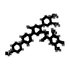 C[C@H]1CN(c2cc(F)c(-c3cnc(N4CCN(C)CC4)nc3)cc2NC(=O)c2cn(C)c(=O)cc2C(F)(F)F)CCN1C